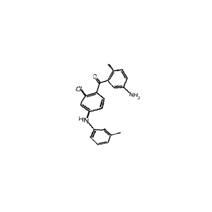 Cc1cccc(Nc2ccc(C(=O)c3cc(N)ccc3C)c(Cl)c2)c1